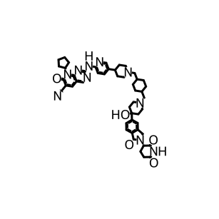 N#Cc1cc2cnc(Nc3ccc(C4CCN(CC5CCC(CN6CCC(O)(c7ccc8c(c7)CN(C7CCC(=O)NC7=O)C8=O)CC6)CC5)CC4)cn3)nc2n(C2CCCC2)c1=O